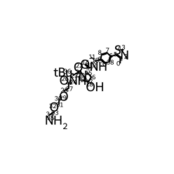 Cc1ncsc1-c1ccc([C@H](C)NC(=O)[C@@H]2C[C@@H](O)CN2C(=O)[C@@H](NC(=O)CCOCCOCCN)C(C)(C)C)cc1